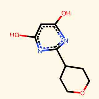 Oc1cc(O)nc(C2CCOCC2)n1